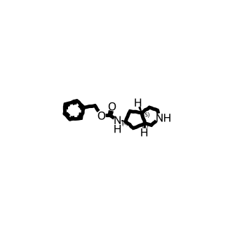 O=C(N[C@H]1C[C@H]2CNCC[C@H]2C1)OCc1ccccc1